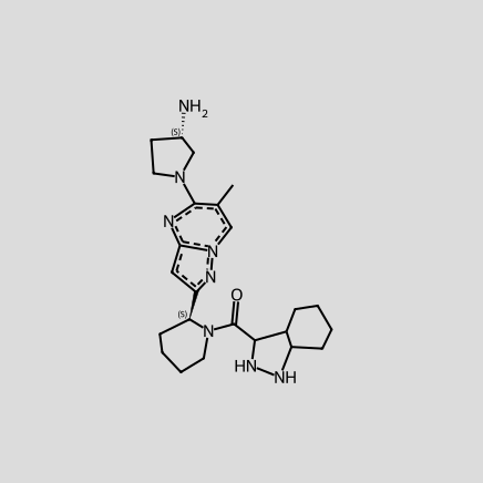 Cc1cn2nc([C@@H]3CCCCN3C(=O)C3NNC4CCCCC43)cc2nc1N1CC[C@H](N)C1